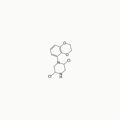 ClC1CN(c2cccc3c2OCCO3)C(Cl)CN1